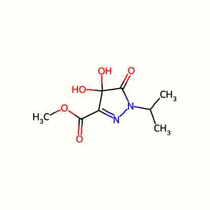 COC(=O)C1=NN(C(C)C)C(=O)C1(O)O